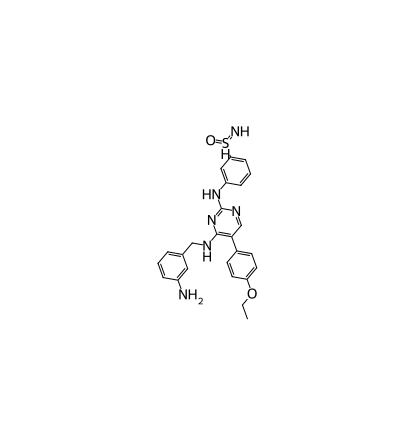 CCOc1ccc(-c2cnc(Nc3cccc([SH](=N)=O)c3)nc2NCc2cccc(N)c2)cc1